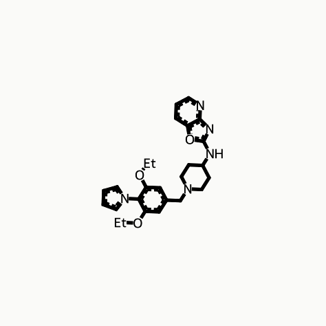 CCOc1cc(CN2CCC(Nc3nc4ncccc4o3)CC2)cc(OCC)c1-n1cccc1